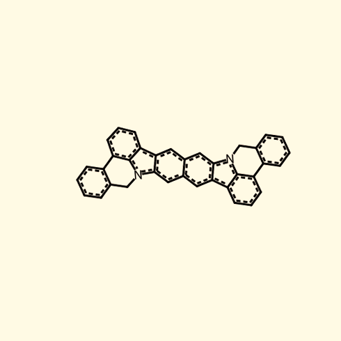 c1ccc2c(c1)Cn1c3cc4cc5c6cccc7c6n(c5cc4cc3c3cccc-2c31)Cc1ccccc1-7